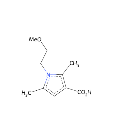 COCCn1c(C)cc(C(=O)O)c1C